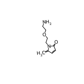 C=C1C=CC(=O)N1CCOCCN